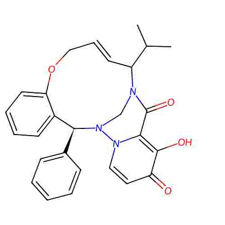 CC(C)C1/C=C/COc2ccccc2[C@H](c2ccccc2)N2CN1C(=O)c1c(O)c(=O)ccn12